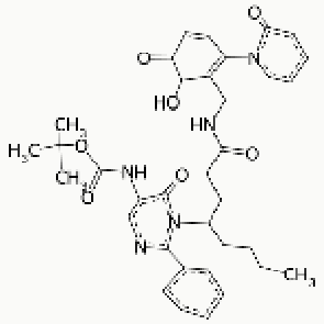 CCCCC(CCC(=O)NCC1=C(n2ccccc2=O)C=CC(=O)C1O)n1c(-c2ccccc2)ncc(NC(=O)OC(C)(C)C)c1=O